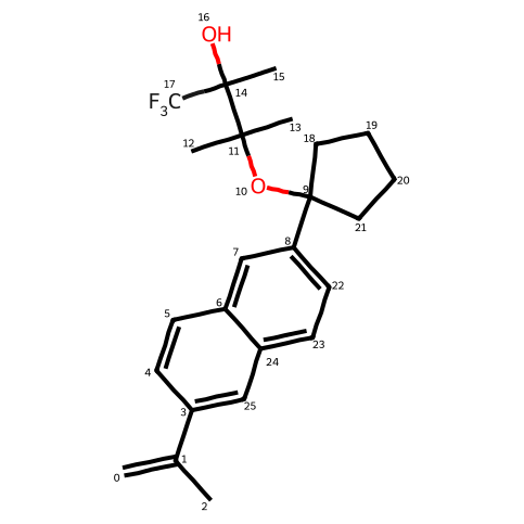 C=C(C)c1ccc2cc(C3(OC(C)(C)C(C)(O)C(F)(F)F)CCCC3)ccc2c1